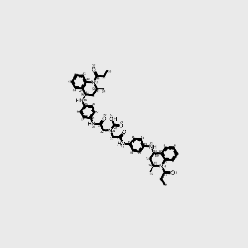 CCC(=O)N1c2ccccc2[C@H](Nc2ccc(NC(=O)CN(CC(=O)Nc3ccc(N[C@@H]4C[C@H](C)N(C(=O)CC)c5ccccc54)cc3)C(=O)O)cc2)C[C@@H]1C